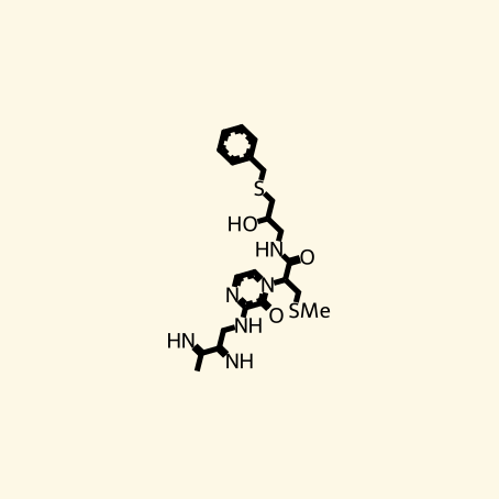 CSCC(C(=O)NCC(O)CSCc1ccccc1)n1ccnc(NCC(=N)C(C)=N)c1=O